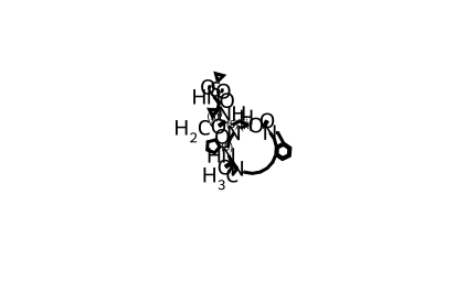 C=C[C@@H]1C[C@]1(NC(=O)[C@@H]1C[C@@H]2CN1C(=O)[C@H](C1CCCC1)NC(=O)N(C)CCCCCc1cccc3c1CN(C3)C(=O)O2)C(=O)NS(=O)(=O)C1CC1